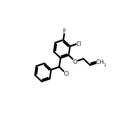 C=CCOc1c(C(Cl)c2ccccc2)ccc(F)c1Cl